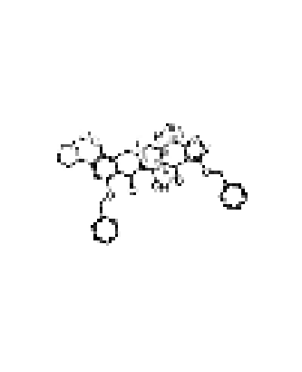 CCN1CCCC1c1cc(OCc2ccccc2)c2c(c1Cl)C[C@H]1C[C@H]3[C@H](N)c4onc(OCc5ccccc5)c4C(=O)[C@@]3(O)C(O)=C1C2=O